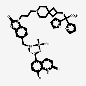 CC(C)(C)[Si](C)(C)O[C@@H](CNCc1ccc2c(c1)sc(=O)n2CCCN1CCC2(CC1)CC(OC(C(=O)O)(c1cccs1)c1cccs1)C2)c1ccc(O)c2[nH]c(=O)ccc12